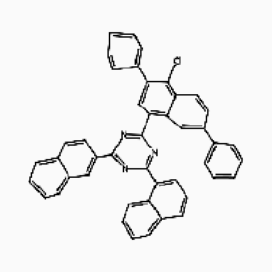 Clc1c(-c2ccccc2)cc(-c2nc(-c3ccc4ccccc4c3)nc(-c3cccc4ccccc34)n2)c2cc(-c3ccccc3)ccc12